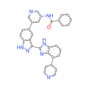 O=C(Nc1cncc(-c2ccc3[nH]nc(-c4nc5c(-c6ccncc6)cccc5[nH]4)c3c2)c1)c1ccccc1